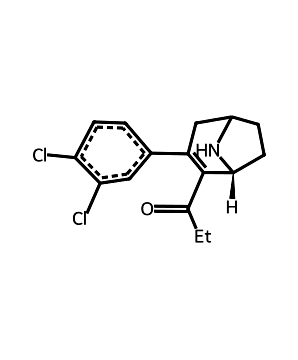 CCC(=O)C1=C(c2ccc(Cl)c(Cl)c2)CC2CC[C@H]1N2